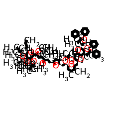 C=CCC[C@@H]1OC(C(/C=C/C(=O)CC[C@H]2CC(=C)[C@H](CC[C@H]3C[C@@H](C)C(=C)C(C[C@@H]4OC5CC(O[Si](c6ccccc6)(c6ccccc6)C(C)(C)C)[C@@H](CCO[Si](c6ccccc6)(c6ccccc6)C(C)(C)C)O[C@H]5[C@H](C)C4OC(=O)C=C)O3)O2)O[Si](C)(C)C(C)(C)C)[C@@H](O[Si](C)(C)C(C)(C)C)[C@@H](O[Si](C)(C)C(C)(C)C)[C@H]1O[Si](C)(C)C(C)(C)C